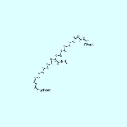 CCCCC/C=C\C/C=C\CCCCCCCCC(=CN)CCCCCCCC/C=C\C/C=C\CCCCC